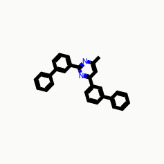 Cc1cc(-c2cccc(-c3ccccc3)c2)nc(-c2cccc(-c3ccccc3)c2)n1